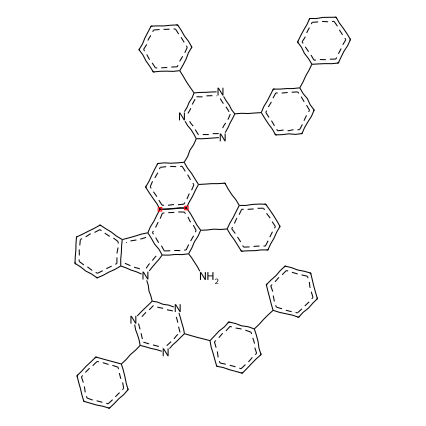 Nc1c(-c2ccccc2Cc2ccccc2-c2nc(-c3ccccc3)nc(-c3cccc(-c4ccccc4)c3)n2)ccc2c3ccccc3n(-c3nc(-c4ccccc4)nc(-c4cccc(-c5ccccc5)c4)n3)c12